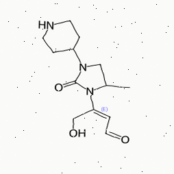 CC1CN(C2CCNCC2)C(=O)N1/C(=C/C=O)CO